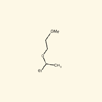 C[C]C(C)OCCOC